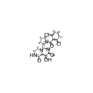 O=C1NCCn2c([C@@H]3CCCN3C(=O)c3c(Cl)cccc3Cl)nc(=O)c(O)c21